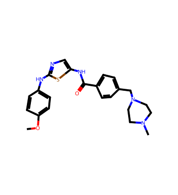 COc1ccc(Nc2ncc(NC(=O)c3ccc(CN4CCN(C)CC4)cc3)s2)cc1